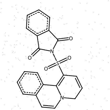 O=C1c2ccccc2C(=O)N1S(=O)(=O)C1=C2c3ccccc3C=CN2CC=C1